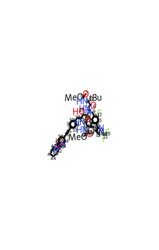 COC(=O)N[C@H](C(=O)NN(Cc1c(F)cc(-c2ccn(C(F)F)n2)cc1F)C[C@H](O)C(Cc1ccc(C#Cc2ccc(N3CC4CCC(C3)N4C3COC3)nc2)cc1)NC(=O)[C@@H](NC(=O)OC)C(C)(C)C(F)(F)F)C(C)(C)C